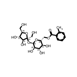 Cc1ccccc1C(=O)OC[C@H]1O[C@H](O[C@]2(CO)O[C@H](CO)[C@@H](O)[C@@H]2O)[C@H](O)[C@@H](O)[C@@H]1O